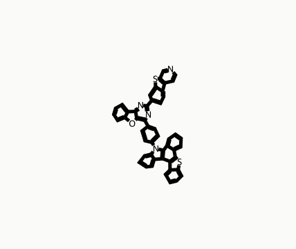 c1ccc2c(c1)oc1c(-c3ccc(-n4c5ccccc5c5c6c7ccccc7sc6c6ccccc6c54)cc3)nc(-c3ccc4c(c3)sc3cnccc34)nc12